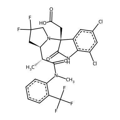 C[C@@H](C(=O)N(C)c1ccccc1C(F)(F)F)[C@H]1CC(F)(F)CN1[C@@]1(CC(=O)O)C(=O)Nc2c(Cl)cc(Cl)cc21